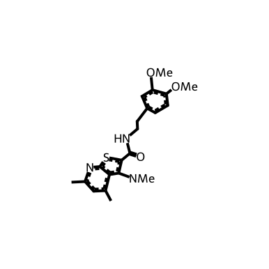 CNc1c(C(=O)NCCc2ccc(OC)c(OC)c2)sc2nc(C)cc(C)c12